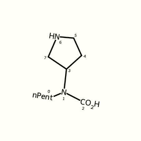 CCCCCN(C(=O)O)C1CCNC1